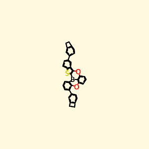 c1cc2c3c(c1)Oc1c(sc4ccc(-c5ccc6c(c5)CC6)cc14)B3c1cccc(-c3ccc4c(c3)CC4)c1O2